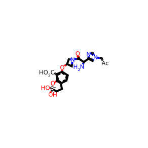 CC(=O)Cn1cnc(C(N)C(=O)N2CC(Oc3ccc4c(c3C(=O)O)O[B-](O)(O)CC4)C2)c1